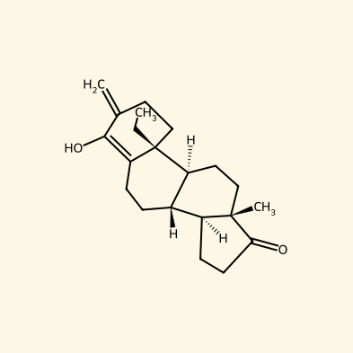 C=C1CC[C@@]2(CC)C(=C1O)CC[C@@H]1[C@@H]2CC[C@]2(C)C(=O)CC[C@@H]12